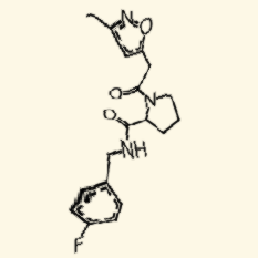 Cc1cc(CC(=O)N2CCCC2C(=O)NCc2ccc(F)cc2)on1